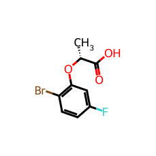 C[C@@H](Oc1cc(F)ccc1Br)C(=O)O